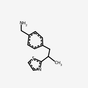 CC(Cc1ccc(CN)cc1)c1nccs1